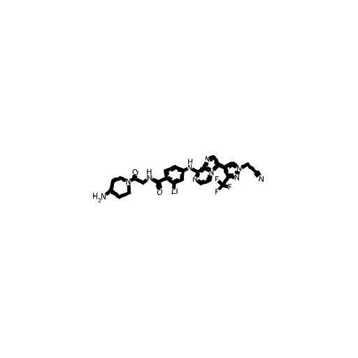 N#CCn1cc(-c2cnc3c(Nc4ccc(C(=O)NCC(=O)N5CCC(N)CC5)c(Cl)c4)nccn23)c(C(F)(F)F)n1